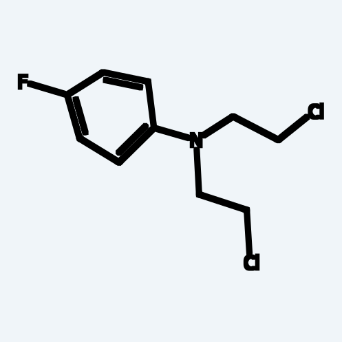 Fc1ccc(N(CCCl)CCCl)cc1